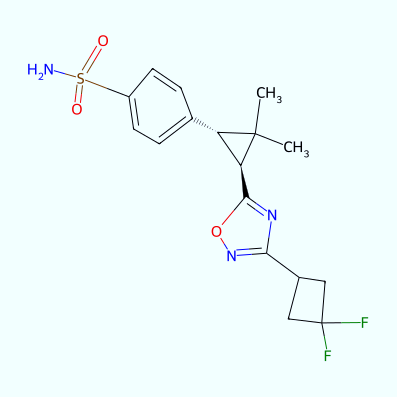 CC1(C)[C@@H](c2ccc(S(N)(=O)=O)cc2)[C@@H]1c1nc(C2CC(F)(F)C2)no1